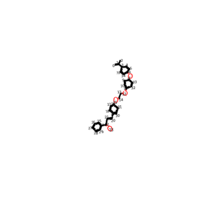 C=C(C)c1ccc(Oc2ccc(OCCOc3ccc(/C=C/C(=O)c4ccccc4)cc3)cc2)cc1